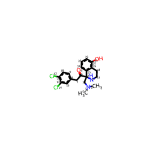 CN(C)CC1(C(=O)Cc2ccc(Cl)c(Cl)c2)NCCc2c(O)cccc21